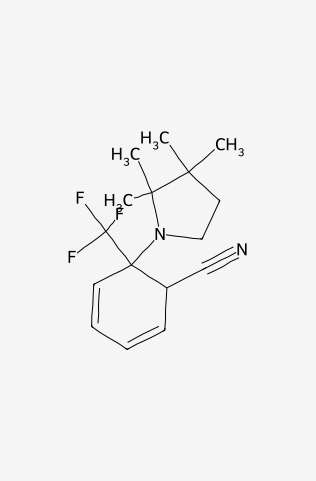 CC1(C)CCN(C2(C(F)(F)F)C=CC=CC2C#N)C1(C)C